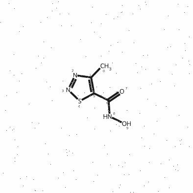 Cc1nnsc1C(=O)NO